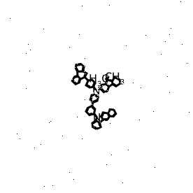 CC1(C)C2CCCC=C2C2CC=C(N(C3=CCC(c4cc5ccccc5c5ccccc45)C=C3)c3ccc(-c4cccc(-n5c6ccccc6c6cc7c(cc65)CCC=C7)c4)cc3)CC21